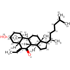 C/C=C1/C(=O)[C@@H]2[C@H](CC[C@]3(C)[C@@H]([C@H](C)CCCC(C)C)CC[C@@H]23)[C@@]2(C)CC[C@@H](O)C[C@@H]12